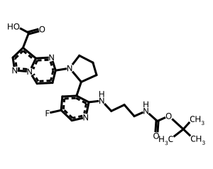 CC(C)(C)OC(=O)NCCCNc1ncc(F)cc1C1CCCN1c1ccn2ncc(C(=O)O)c2n1